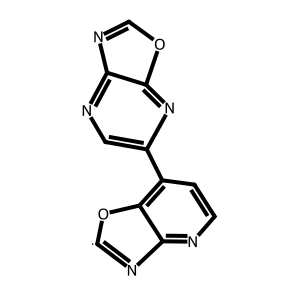 [c]1nc2nccc(-c3cnc4ncoc4n3)c2o1